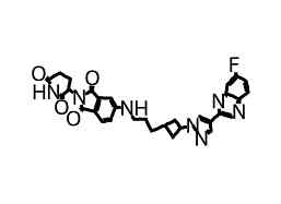 O=C1CCC(N2C(=O)c3ccc(NCCCC4CC(n5cc(-c6cnc7ccc(F)cc7n6)cn5)C4)cc3C2=O)C(=O)N1